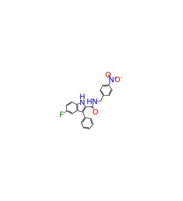 O=C(NCc1ccc([N+](=O)[O-])cc1)c1[nH]c2ccc(F)cc2c1-c1ccccc1